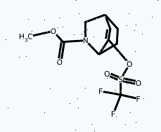 COC(=O)N1CC2C=C(OS(=O)(=O)C(F)(F)F)C1CC2